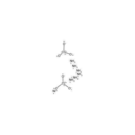 N.N.N.N.N.N.[Ni+2].[O-][Cl+2]([O-])[O-].[O-][Cl+2]([O-])[O-]